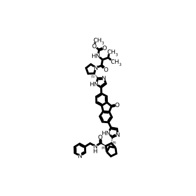 COC(=O)NC(C(=O)N1CCC[C@H]1c1ncc(-c2ccc3c(c2)C(=O)c2cc(-c4cnc([C@@H]5C6CCC(C6)[C@H]5C(=O)NCc5cccnc5)[nH]4)ccc2-3)[nH]1)C(C)C